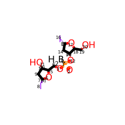 BP(=O)(OCC1O[C@@H](I)C[C@H]1O)O[C@@H]1C[C@H](I)OC1CO